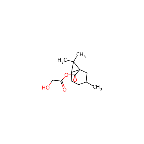 CC1CCC2C(C)(C)C2(C(=O)OC(=O)CO)C1